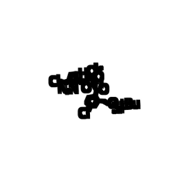 CC1(C)O[C@@H]2[C@@H](C(=O)c3ccc(Cl)cc3CCO[Si](C)(C)C(C)(C)C)OC(n3ccc4c(Cl)ncnc43)[C@@H]2O1